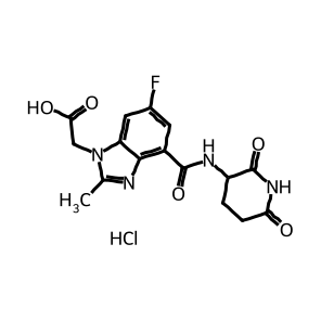 Cc1nc2c(C(=O)NC3CCC(=O)NC3=O)cc(F)cc2n1CC(=O)O.Cl